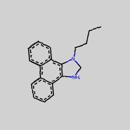 CCCCN1CNc2c1c1ccccc1c1ccccc21